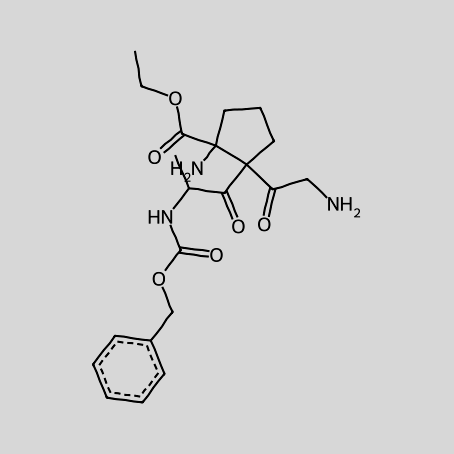 CCOC(=O)C1(N)CCCC1(C(=O)CN)C(=O)C(C)NC(=O)OCc1ccccc1